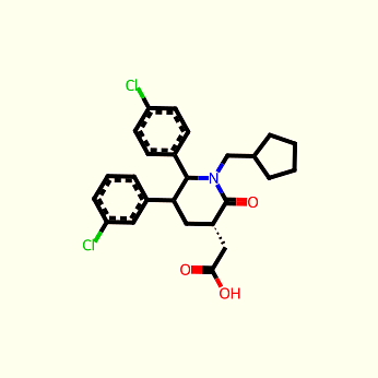 O=C(O)C[C@@H]1CC(c2cccc(Cl)c2)C(c2ccc(Cl)cc2)N(CC2CCCC2)C1=O